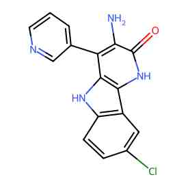 Nc1c(-c2cccnc2)c2[nH]c3ccc(Cl)cc3c2[nH]c1=O